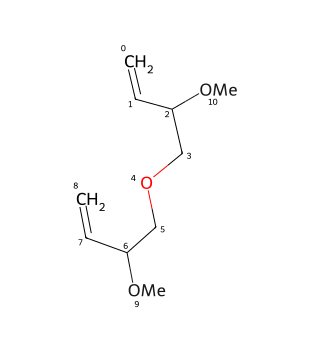 C=CC(COCC(C=C)OC)OC